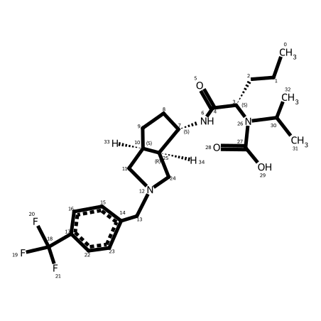 CCC[C@@H](C(=O)N[C@H]1CC[C@@H]2CN(Cc3ccc(C(F)(F)F)cc3)C[C@@H]21)N(C(=O)O)C(C)C